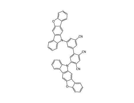 N#Cc1cc(-c2cc(-n3c4ccccc4c4cc5oc6ccccc6c5cc43)c(C#N)cc2C#N)cc(-n2c3ccccc3c3cc4oc5ccccc5c4cc32)c1